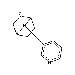 c1cncc(N2CC3CCC(C2)NC3)c1